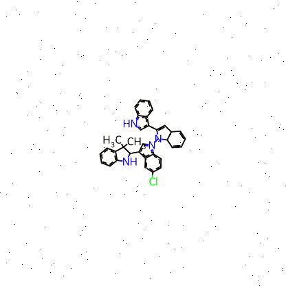 CC1(C)c2ccccc2NC1c1cn(N2C(c3c[nH]c4ccccc34)=CC3C=CC=CC32)c2ccc(Cl)cc12